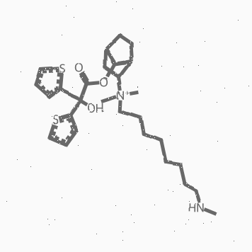 CNCCCCCCCC[N+](C)(C)C1CC2CCC1C2OC(=O)C(O)(c1cccs1)c1cccs1